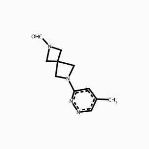 Cc1cnnc(N2CC3(CN(C=O)C3)C2)c1